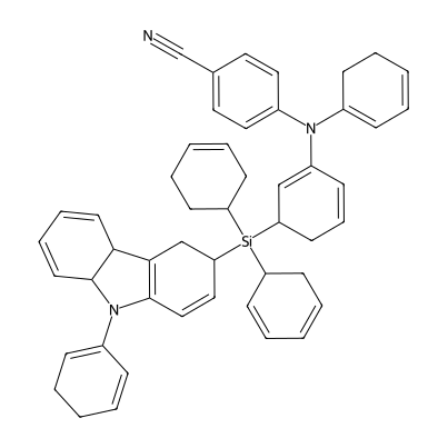 N#Cc1ccc(N(C2=CC([Si](C3C=CC=CC3)(C3C=CC4=C(C3)C3C=CC=CC3N4C3=CCCC=C3)C3CC=CCC3)CC=C2)C2=CC=CCC2)cc1